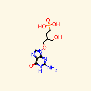 Nc1nc2c(ncn2OCC(CO)CCP(=O)(O)O)c(=O)[nH]1